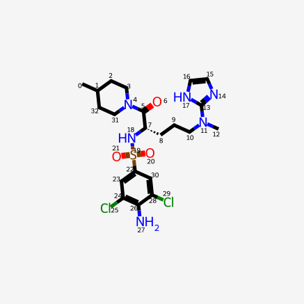 CC1CCN(C(=O)[C@H](CCCN(C)c2ncc[nH]2)NS(=O)(=O)c2cc(Cl)c(N)c(Cl)c2)CC1